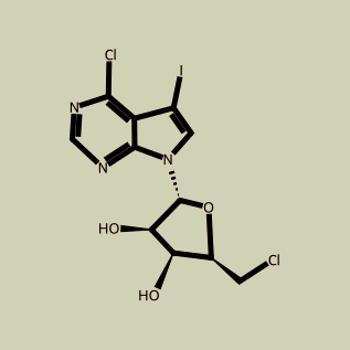 O[C@@H]1[C@H](O)[C@H](CCl)O[C@H]1n1cc(I)c2c(Cl)ncnc21